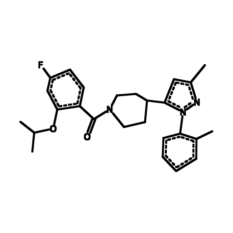 Cc1cc(C2CCN(C(=O)c3ccc(F)cc3OC(C)C)CC2)n(-c2ccccc2C)n1